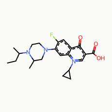 CCC(C)N1CCN(c2cc3c(cc2F)c(=O)c(C(=O)O)cn3C2CC2)CC1C